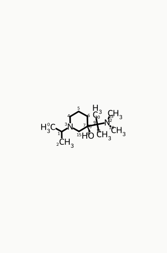 CC(C)N1CCC[C@](O)(C(C)(C)N(C)C)C1